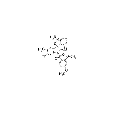 COc1ccc(S(=O)(=O)N2C(=O)C(OC(N)=O)(c3ccccc3Cl)c3cc(C)c(Cl)cc32)c(OC)c1